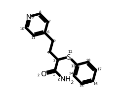 NC(=O)C(CCc1ccncc1)Sc1cc[c]cc1